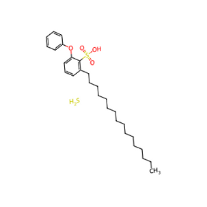 CCCCCCCCCCCCCCCCc1cccc(Oc2ccccc2)c1S(=O)(=O)O.S